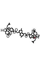 Cc1cc(CC(=O)Oc2ccc(C)c3c2O[C@H]2C(=O)CC[C@@]4(O)[C@@H](C)N(CC5CC5)CC[C@]324)c2cc(C)cc(CC(=O)Oc3ccc4c5c3C[C@H]3C(=O)CC[C@@]6(O)[C@@H](C4)N(CC4CC4)CC[C@]536)c2c1